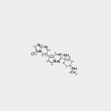 CNC1CCC(N)(c2ncc3c(-c4cnc5ncc(Cl)n5c4)ccn3n2)CC1